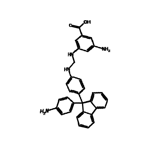 Nc1ccc(C2(c3ccc(NCNc4cc(N)cc(C(=O)O)c4)cc3)c3ccccc3-c3ccccc32)cc1